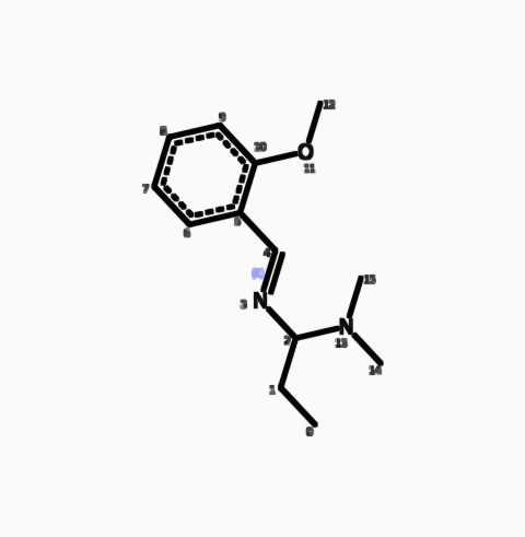 CCC(/N=C/c1ccccc1OC)N(C)C